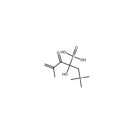 C=C(C)C(=O)C(O)(C[N+](C)(C)C)P(=O)(O)O